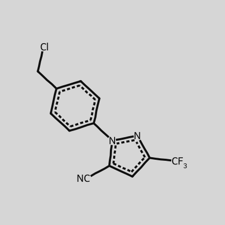 N#Cc1cc(C(F)(F)F)nn1-c1ccc(CCl)cc1